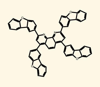 c1ccc2c(c1)oc1ccc(-c3cc(-c4ccc5oc6ccccc6c5c4)c4ccc5c(-c6ccc7oc8ccccc8c7c6)cc(-c6ccc7oc8ccccc8c7c6)nc5c4n3)cc12